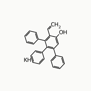 C=Cc1c(O)cc(-c2ccccc2)c(-c2ccccc2)c1-c1ccccc1.[KH]